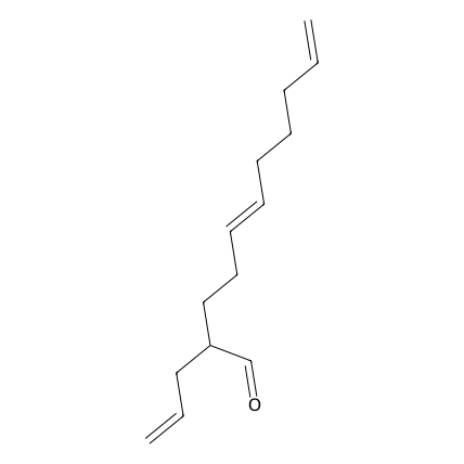 C=CCCCC=CCCC(C=O)CC=C